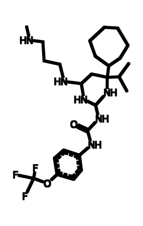 CNCCCNC1CC(C(C)C)(C2CCCCCC2)NC(NC(=O)Nc2ccc(OC(F)(F)F)cc2)N1